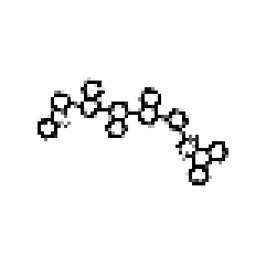 c1cc(-c2cnc3c4ccccc4c4ccccc4c3n2)cc(-c2ccc(-c3ccc(-c4ccc(-c5cccc6c5sc5ccccc56)c5ccccc45)c4ccccc34)c3ccccc23)c1